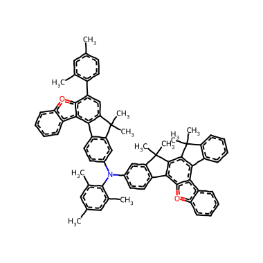 Cc1ccc(-c2cc3c(c4c2oc2ccccc24)-c2ccc(N(c4ccc5c(c4)C(C)(C)c4c6c(c7c(oc8ccccc87)c4-5)-c4ccccc4C6(C)C)c4c(C)cc(C)cc4C)cc2C3(C)C)c(C)c1